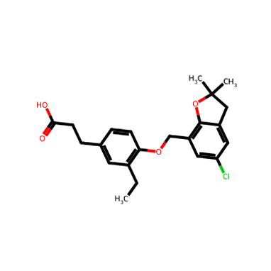 CCc1cc(CCC(=O)O)ccc1OCc1cc(Cl)cc2c1OC(C)(C)C2